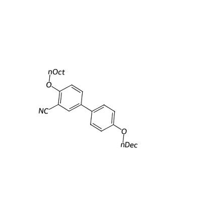 CCCCCCCCCCOc1ccc(-c2ccc(OCCCCCCCC)c(C#N)c2)cc1